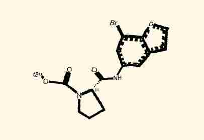 CC(C)(C)OC(=O)N1CCC[C@H]1C(=O)Nc1cc(Br)c2occc2c1